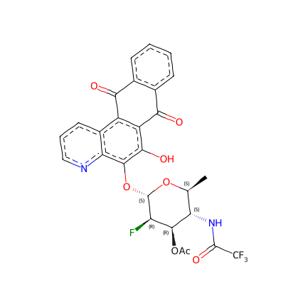 CC(=O)O[C@H]1[C@@H](F)[C@H](Oc2c(O)c3c(c4cccnc24)C(=O)c2ccccc2C3=O)O[C@@H](C)[C@@H]1NC(=O)C(F)(F)F